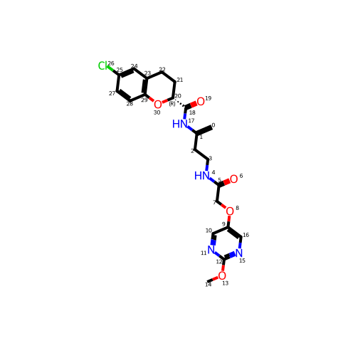 C=C(CCNC(=O)COc1cnc(OC)nc1)NC(=O)[C@H]1CCc2cc(Cl)ccc2O1